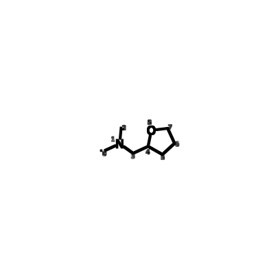 [CH2]N(C)CC1CCCO1